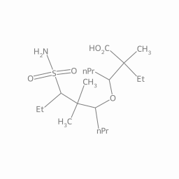 CCCC(OC(CCC)C(C)(C)C(CC)S(N)(=O)=O)C(C)(CC)C(=O)O